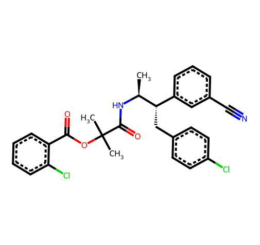 C[C@H](NC(=O)C(C)(C)OC(=O)c1ccccc1Cl)[C@@H](Cc1ccc(Cl)cc1)c1cccc(C#N)c1